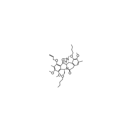 C=CCOc1c(C)c(OC)c(OC)c2c1C(=O)[C@H]1[C@H](N(C)C)c3c(cc(C)c(OC)c3OCCCC)CC(=O)N1[C@H]2COCCCC